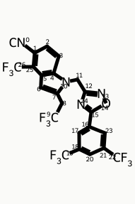 [C-]#[N+]c1ccc2c(cc(CC(F)(F)F)n2Cc2noc(-c3cc(C(F)(F)F)cc(C(F)(F)F)c3)n2)c1C(F)(F)F